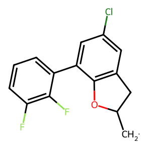 [CH2]C1Cc2cc(Cl)cc(-c3cccc(F)c3F)c2O1